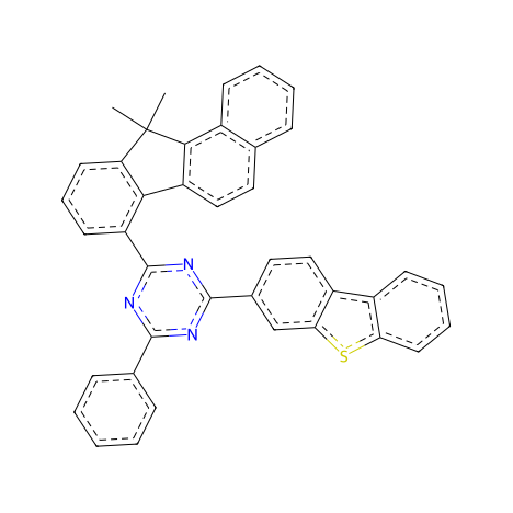 CC1(C)c2cccc(-c3nc(-c4ccccc4)nc(-c4ccc5c(c4)sc4ccccc45)n3)c2-c2ccc3ccccc3c21